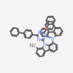 N#Cc1cccc2c3cccc(-n4c5cccc6c7ccccc7c7cccc4c7c65)c3n(-c3nc(-c4ccccc4)nc(-c4ccc(-c5ccccc5)cc4)n3)c12